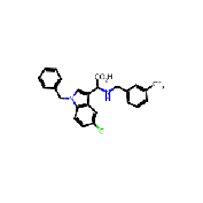 O=C(O)C(NCc1cccc(C(F)(F)F)c1)c1cn(Cc2ccccc2)c2ccc(Cl)cc12